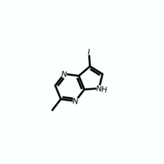 Cc1cnc2c(I)c[nH]c2n1